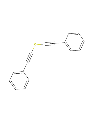 C(#Cc1ccccc1)SC#Cc1ccccc1